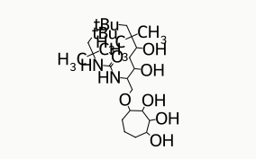 CC(C)(C)CC(C)(C)NC(=O)NC(COC1CCCC(O)C(O)C1O)C(O)CC(O)C(C)(C)CC(C)(C)C